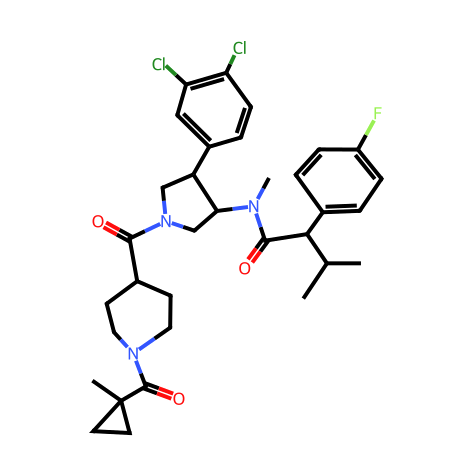 CC(C)C(C(=O)N(C)C1CN(C(=O)C2CCN(C(=O)C3(C)CC3)CC2)CC1c1ccc(Cl)c(Cl)c1)c1ccc(F)cc1